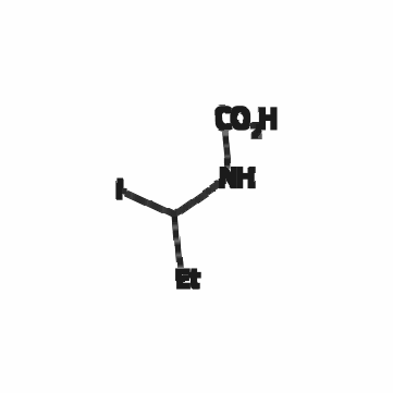 [CH2]CC(I)NC(=O)O